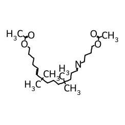 CC(=O)OCCCC/C=C/C(C)(C)CCCC(C)(C)CC/C=N/CCCCOC(C)=O